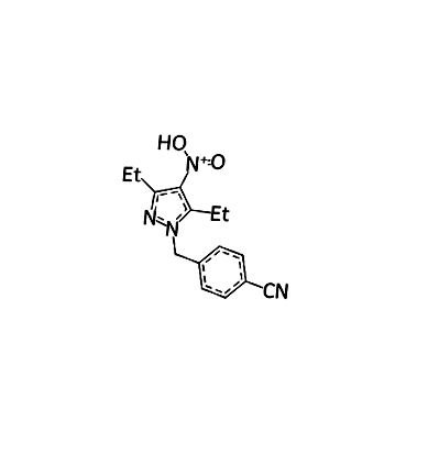 CCc1nn(Cc2ccc(C#N)cc2)c(CC)c1[N+](=O)O